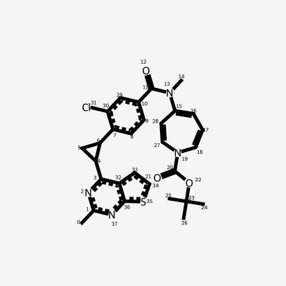 Cc1nc(C2CC2c2ccc(C(=O)N(C)C3=CC=CN(C(=O)OC(C)(C)C)C=C3)cc2Cl)c2ccsc2n1